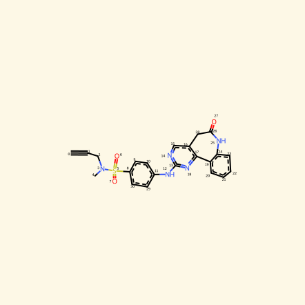 C#CCN(C)S(=O)(=O)c1ccc(Nc2ncc3c(n2)-c2ccccc2NC(=O)C3)cc1